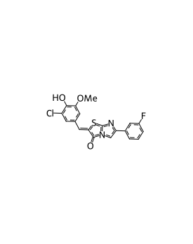 COc1cc(/C=c2\sc3nc(-c4cccc(F)c4)cn3c2=O)cc(Cl)c1O